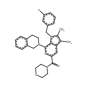 Cc1c(C)n(Cc2cccc(F)c2)c2c(N3CCc4ccccc4C3)nc(C(=O)N3CCOCC3)cc12